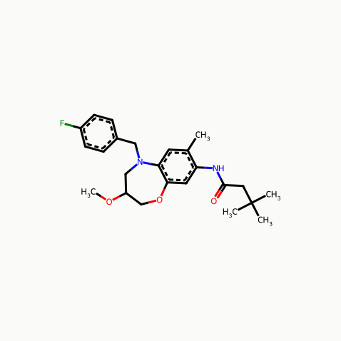 COC1COc2cc(NC(=O)CC(C)(C)C)c(C)cc2N(Cc2ccc(F)cc2)C1